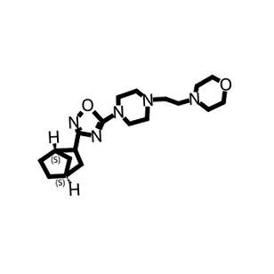 C1CN(CCN2CCN(c3nc(C4C[C@H]5CC[C@H]4C5)no3)CC2)CCO1